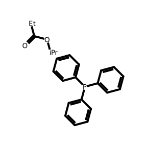 CCC(=O)OC(C)C.c1ccc(P(c2ccccc2)c2ccccc2)cc1